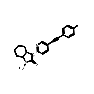 CN1C(=O)[C@@H](c2ccc(C#Cc3ccc(F)cc3)cn2)C2CCCCC21